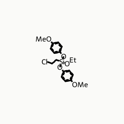 CCO[Si](CCCl)(Oc1ccc(OC)cc1)Oc1ccc(OC)cc1